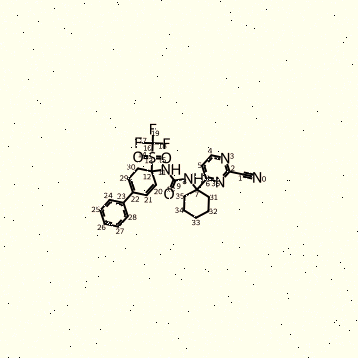 N#Cc1nccc(C2(NC(=O)NC3(S(=O)(=O)C(F)(F)F)C=CC(c4ccccc4)=CC3)CCCCC2)n1